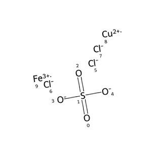 O=S(=O)([O-])[O-].[Cl-].[Cl-].[Cl-].[Cu+2].[Fe+3]